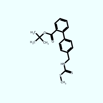 CSC(=S)NCc1ccc(-c2ccccc2C(=O)OC(C)(C)C)cc1